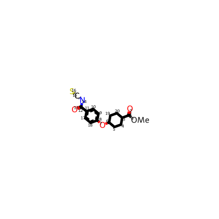 COC(=O)C1CCC(Oc2ccc(C(=O)N=C=S)cc2)CC1